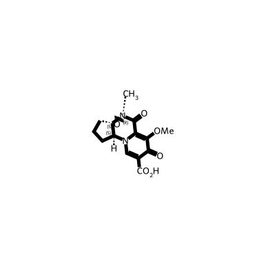 COc1c2n(cc(C(=O)O)c1=O)[C@H]1CCC[C@]13OC[C@@H](C)N3C2=O